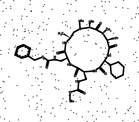 CCCC[C@H]1C(=O)N(C)[C@@H](CCC)C(=O)N[C@@H](C2CCCCC2)C(=O)N[C@@H](CNC(=O)OC(C)(C)C)C(=O)N[C@@H](CNC(=O)OCc2ccccc2)C(=O)N[C@H](C)CN1CCCC